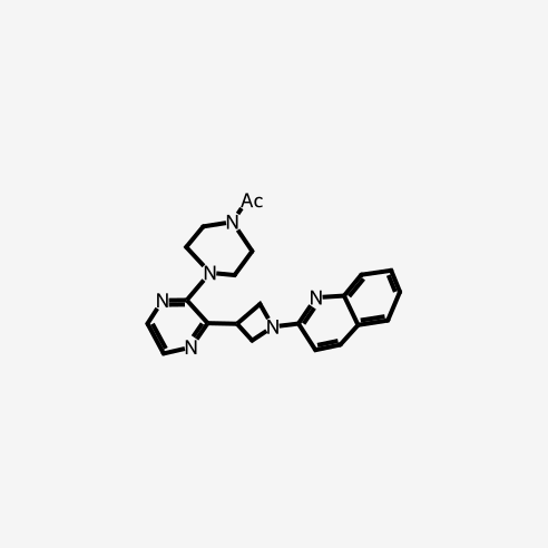 CC(=O)N1CCN(c2nccnc2C2CN(c3ccc4ccccc4n3)C2)CC1